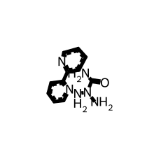 NC(=O)N(N)N.c1ccc(-c2ccccn2)nc1